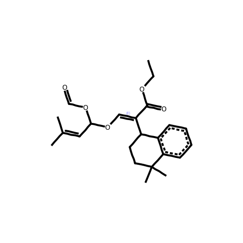 CCOC(=O)/C(=C/OC(C=C(C)C)OC=O)C1CCC(C)(C)c2ccccc21